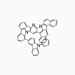 c1ccc(-n2c3ccccc3c3cc(-c4cccc5c6cccc7c8nc9c(cc8n(c45)c67)c4c5ccccc5cc5c6c7ccccc7ccc6n9c54)ccc32)cc1